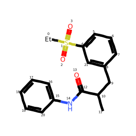 CCS(=O)(=O)c1cccc(CC(C)C(=O)Nc2ccccc2)c1